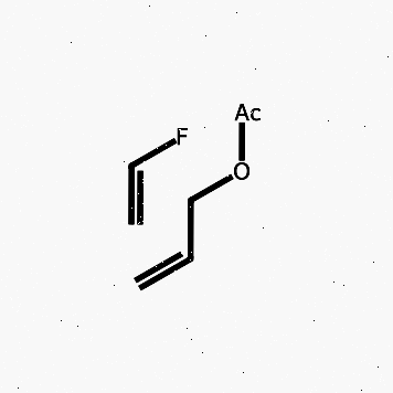 C=CCOC(C)=O.C=CF